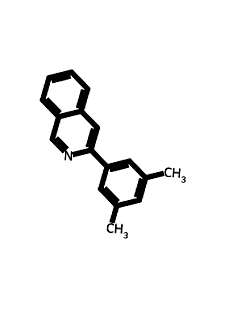 Cc1cc(C)cc(-c2cc3ccccc3cn2)c1